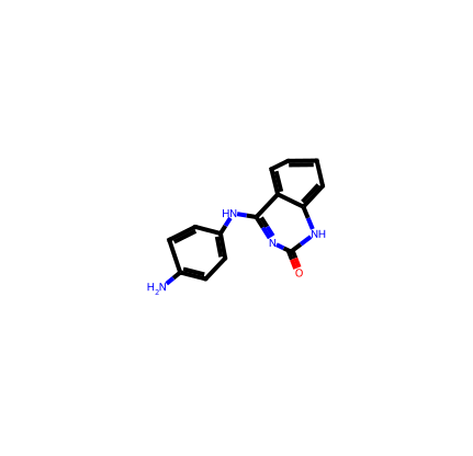 Nc1ccc(Nc2nc(=O)[nH]c3ccccc23)cc1